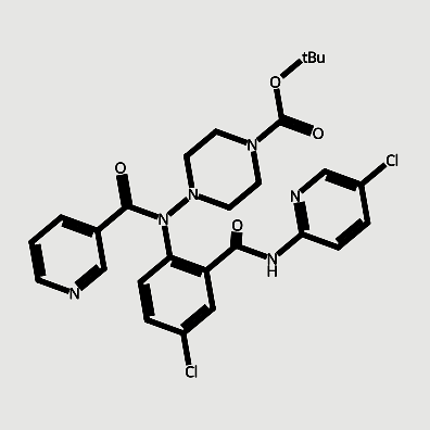 CC(C)(C)OC(=O)N1CCN(N(C(=O)c2cccnc2)c2ccc(Cl)cc2C(=O)Nc2ccc(Cl)cn2)CC1